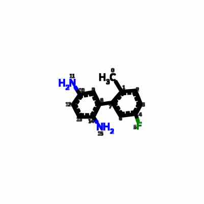 Cc1ccc(F)cc1-c1cc(N)ccc1N